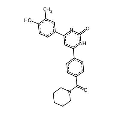 Cc1cc(-c2cc(-c3ccc(C(=O)N4CCCCC4)cc3)[nH]c(=O)n2)ccc1O